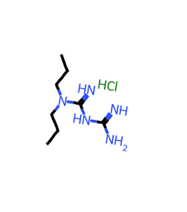 CCCN(CCC)C(=N)NC(=N)N.Cl